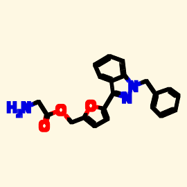 NCC(=O)OCc1ccc(-c2nn(Cc3ccccc3)c3ccccc23)o1